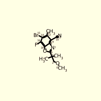 COCC(C)(C)c1nc2c(C#N)c(C)c(Br)c(F)c2o1